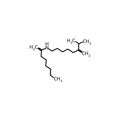 C=C(CCCCCC)NCCCCCC(=C)C(C)C